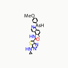 COc1ccc([AsH]c2nccc3c(NC(=O)c4csc5c(NC6CC6)ncnc45)c(C)ccc23)cc1